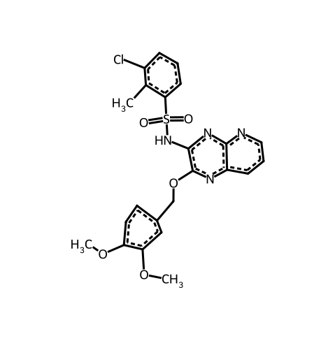 COc1ccc(COc2nc3cccnc3nc2NS(=O)(=O)c2cccc(Cl)c2C)cc1OC